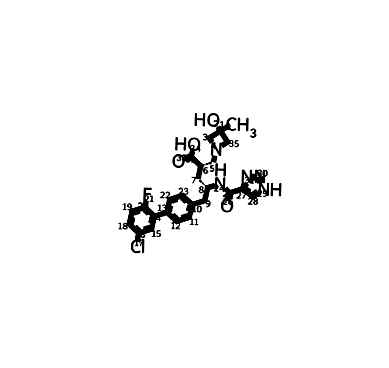 CC1(O)CN(C[C@H](C[C@@H](Cc2ccc(-c3cc(Cl)ccc3F)cc2)NC(=O)c2c[nH]nn2)C(=O)O)C1